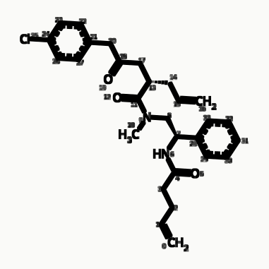 C=CCCC(=O)N[C@@H](CN(C)C(=O)[C@@H](CC=C)CC(=O)Cc1ccc(Cl)cc1)c1ccccc1